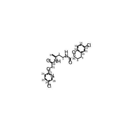 C=C(CCNC(=O)[C@H]1CCc2cc(Cl)ccc2O1)NC(=O)COc1ccc(Cl)cn1